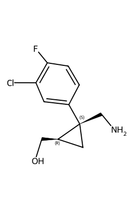 NC[C@@]1(c2ccc(F)c(Cl)c2)C[C@H]1CO